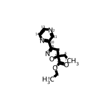 CCOC(=O)C1(CC)CC(c2cnccn2)=NO1